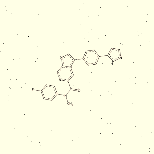 CN(C(=O)c1cn2c(-c3ccc(-c4ccn[nH]4)cc3)cnc2cn1)c1ccc(F)cc1